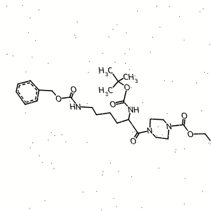 CCOC(=O)N1CCN(C(=O)C(CCCCNC(=O)OCc2ccccc2)NC(=O)OC(C)(C)C)CC1